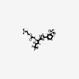 CN(C)CCOC(=O)Cn1nc(C(F)(F)F)cc1-c1nsc(-c2cccc(S(C)(=O)=O)c2)n1